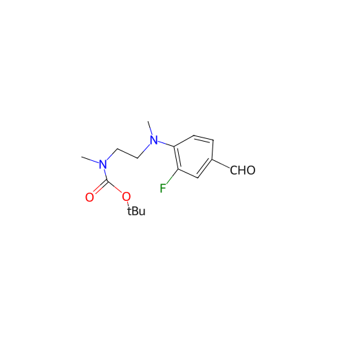 CN(CCN(C)c1ccc(C=O)cc1F)C(=O)OC(C)(C)C